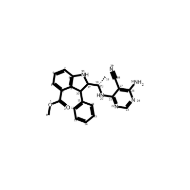 COC(=O)c1cccc2c1C(c1ccccc1)C([C@H](C)Nc1ncnc(N)c1C#N)N2